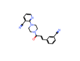 N#Cc1cccc(/C=C/C(=O)N2CCN(c3ncccc3C#N)CC2)c1